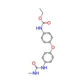 CCOC(=O)Nc1ccc(Oc2ccc(NC(=O)NC)cc2)cc1